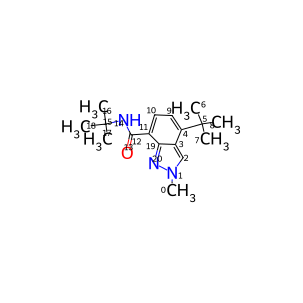 Cn1cc2c(C(C)(C)C)ccc(C(=O)NC(C)(C)C)c2n1